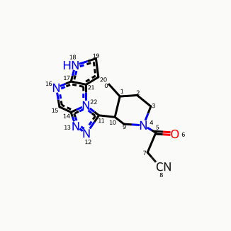 CC1CCN(C(=O)CC#N)CC1c1nnc2cnc3[nH]ccc3n12